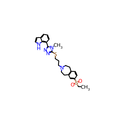 CCS(=O)(=O)c1ccc2c(c1)CCN(CCCSc1nnc(-c3cccc4cc[nH]c34)n1C)CC2